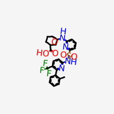 Cc1ccccc1-c1nc(NS(=O)(=O)c2cccc(NC3CC4(C(=O)O)CCC3O4)n2)ccc1C(F)(F)F